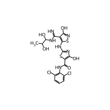 CC(O)C(O)NC(=N)c1c(O)nsc1Nc1nc(O)c(C(=O)Nc2c(Cl)cccc2Cl)s1